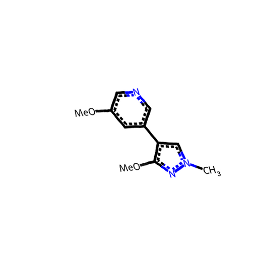 COc1cncc(-c2cn(C)nc2OC)c1